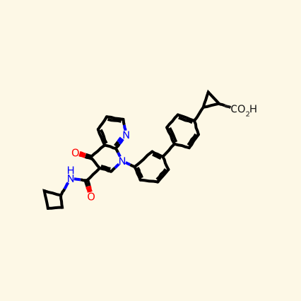 O=C(NC1CCC1)c1cn(-c2cccc(-c3ccc(C4CC4C(=O)O)cc3)c2)c2ncccc2c1=O